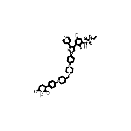 CCN(C)S(=O)(=O)Nc1cc(F)cc(-c2cn(-c3ccc(N4CCN(CC5CCN(c6ccc(C7CCC(=O)NC7=O)cc6)CC5)CC4)cc3)nc2-c2ccncc2)c1F